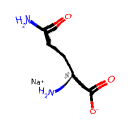 NC(=O)CC[C@H](N)C(=O)[O-].[Na+]